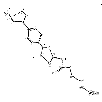 CN1CC(c2ccc(C3CC(NC(=O)CCCNC#N)ON3)cc2)CN1